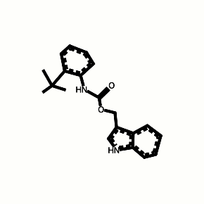 CC(C)(C)c1ccccc1NC(=O)OCc1c[nH]c2ccccc12